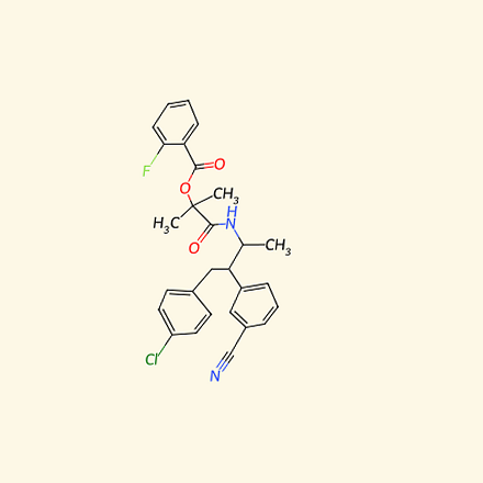 CC(NC(=O)C(C)(C)OC(=O)c1ccccc1F)C(Cc1ccc(Cl)cc1)c1cccc(C#N)c1